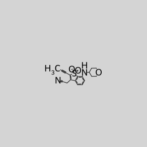 CC#CC1=C(CC#N)c2cccc(NC3CCOCC3)c2S1(=O)=O